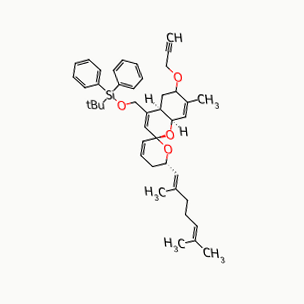 C#CCOC1C[C@@H]2C(CO[Si](c3ccccc3)(c3ccccc3)C(C)(C)C)=C[C@]3(C=CC[C@@H](/C=C(\C)CCC=C(C)C)O3)O[C@@H]2C=C1C